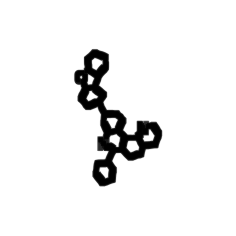 c1ccc(-c2nc3cc(-c4ccc5oc6ccccc6c5c4)ccc3c3c2ccc2cccnc23)cc1